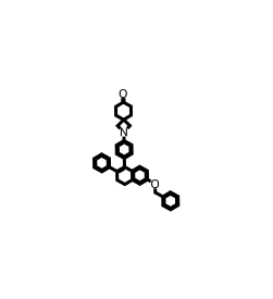 O=C1CCC2(CC1)CN(c1ccc(C3=C(c4ccccc4)CCc4cc(OCc5ccccc5)ccc43)cc1)C2